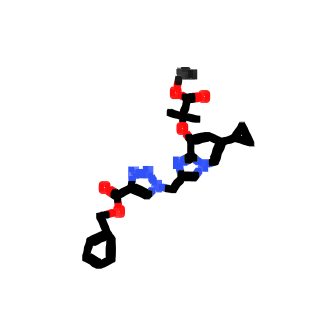 CC(C)(C)OC(=O)C(C)(C)Oc1cc(C2CC2)cn2cc(Cn3cc(C(=O)OCc4ccccc4)nn3)nc12